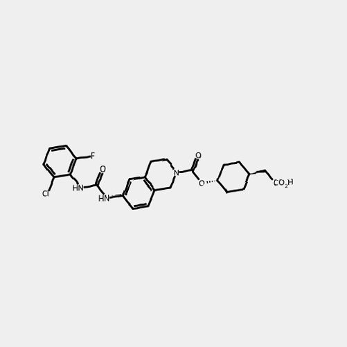 O=C(O)C[C@H]1CC[C@H](OC(=O)N2CCc3cc(NC(=O)Nc4c(F)cccc4Cl)ccc3C2)CC1